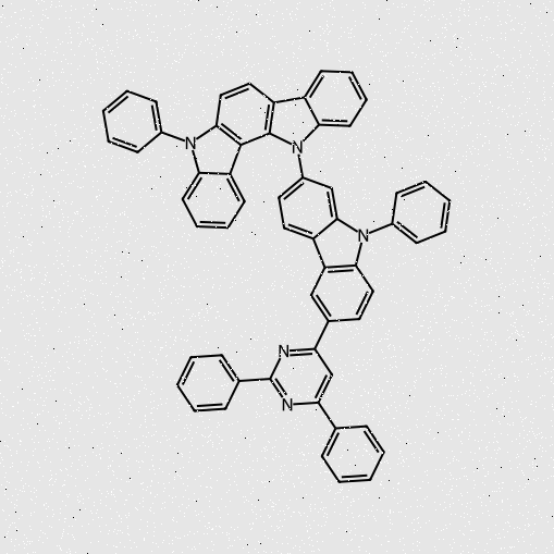 c1ccc(-c2cc(-c3ccc4c(c3)c3ccc(-n5c6ccccc6c6ccc7c(c8ccccc8n7-c7ccccc7)c65)cc3n4-c3ccccc3)nc(-c3ccccc3)n2)cc1